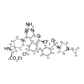 CCOC(=O)[C@@H]1CC2(CCN(c3cc(O[C@H](c4ccc(Cl)cc4-c4cccc(C(=O)N5CCN(C6CC6)CC5)c4)C(F)(F)F)nc(N)n3)CC2)CN1